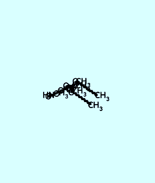 CCCCCCCCCCCCCC(C)(C)C(=O)OCC(COC(=O)NCCOCCOCCNC=O)OC(=O)C(C)(C)CCCCCCCCCCCCC